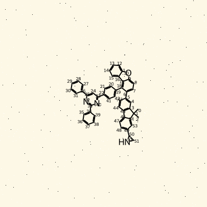 CC1(C)c2cc(-c3ccc4oc5ccccc5c4c3-c3ccc(-c4cc(-c5ccccc5)nc(-c5ccccc5)n4)cc3)ccc2-c2ccc(C3CN3)cc21